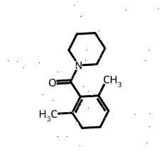 CC1=CCCC(C)=C1C(=O)N1CCCCC1